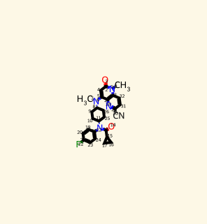 Cn1c(=O)cc(N(C)[C@H]2CC[C@@H](N(C(=O)C3CC3)c3ccc(F)cc3)CC2)c2nc(C#N)ccc21